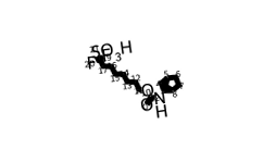 O=C(NC1CC2CCC1C2)OCCCCCCCC(F)(F)S(=O)(=O)O